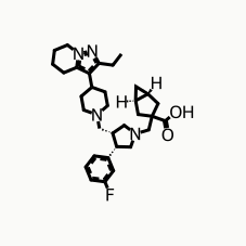 CCc1nn2c(c1C1CCN(C[C@@H]3CN(CC4(C(=O)O)C[C@H]5C[C@@H]5C4)C[C@@H]3c3cccc(F)c3)CC1)CCCC2